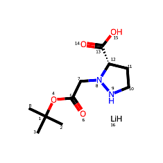 CC(C)(C)OC(=O)CN1NCC[C@H]1C(=O)O.[LiH]